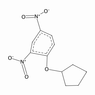 O=[N+]([O-])c1ccc(OC2CCCC2)c([N+](=O)[O-])c1